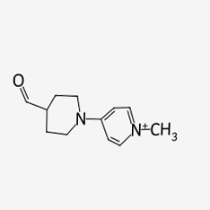 C[n+]1ccc(N2CCC(C=O)CC2)cc1